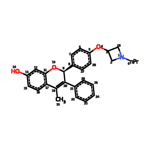 CCCN1CC(Oc2ccc([C@@H]3Oc4cc(O)ccc4C(C)=C3c3ccccc3)cc2)C1